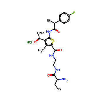 CCC(C(=O)Nc1sc(C(=O)NCCNC(=O)C(N)CC(C)C)c(C)c1C(=O)OC)c1ccc(F)cc1.Cl